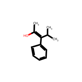 CC(O)=C(c1ccccc1)C(C)C